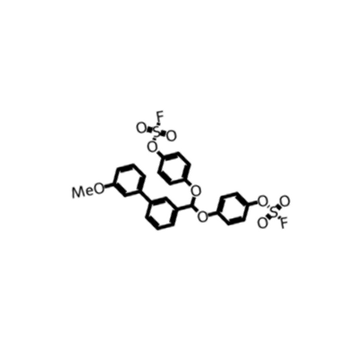 COc1cccc(-c2cccc(C(Oc3ccc(OS(=O)(=O)F)cc3)Oc3ccc(OS(=O)(=O)F)cc3)c2)c1